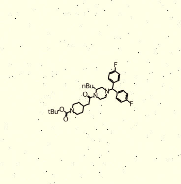 CCCC[C@H]1CN(C(c2ccc(F)cc2)c2ccc(F)cc2)CCN1C(=O)CC1CCN(C(=O)OC(C)(C)C)CC1